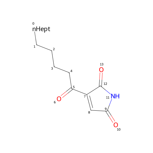 CCCCCCCCCCCC(=O)C1=CC(=O)NC1=O